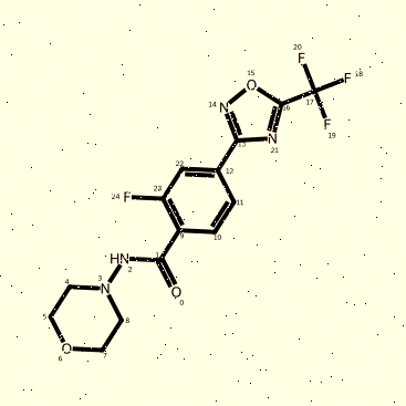 O=C(NN1CCOCC1)c1ccc(-c2noc(C(F)(F)F)n2)cc1F